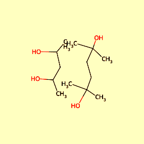 CC(C)(O)CCC(C)(C)O.CC(O)CC(C)O